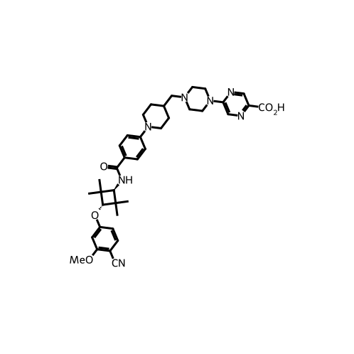 COc1cc(O[C@H]2C(C)(C)[C@H](NC(=O)c3ccc(N4CCC(CN5CCN(c6cnc(C(=O)O)cn6)CC5)CC4)cc3)C2(C)C)ccc1C#N